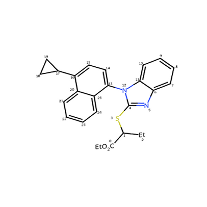 CCOC(=O)C(CC)Sc1nc2ccccc2n1-c1ccc(C2CC2)c2ccccc12